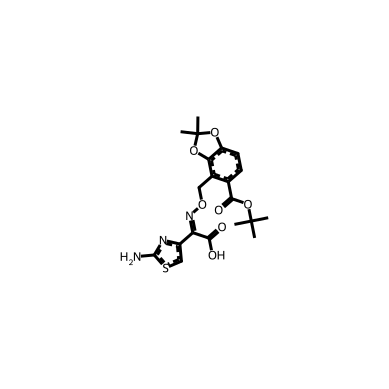 CC(C)(C)OC(=O)c1ccc2c(c1CO/N=C(\C(=O)O)c1csc(N)n1)OC(C)(C)O2